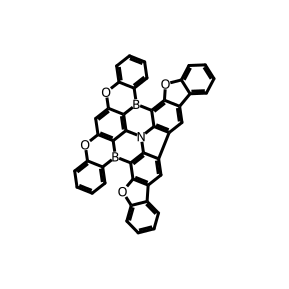 c1ccc2c(c1)Oc1cc3c4c5c1B2c1c2oc6ccccc6c2cc2c6cc7c(oc8ccccc87)c(c6n-5c12)B4c1ccccc1O3